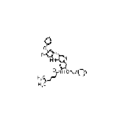 CN(C)C/C=C/C(=O)Nc1cc2c(Nc3ccc(Oc4ccccc4)c(F)c3)c(C#N)cnc2cc1OCCN1CCOCC1